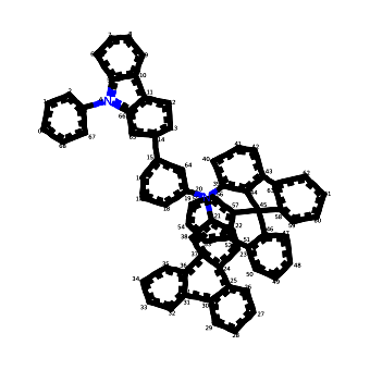 c1ccc(-n2c3ccccc3c3ccc(-c4cccc(N(c5ccc6c7ccccc7c7ccccc7c6c5)c5cccc6c5C5(c7ccccc7-c7ccccc75)c5ccccc5-6)c4)cc32)cc1